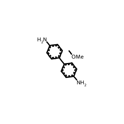 COC.Nc1ccc(-c2ccc(N)cc2)cc1